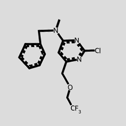 CN(Cc1ccccc1)c1cc(COCC(F)(F)F)nc(Cl)n1